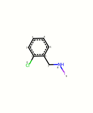 Clc1ccccc1CNI